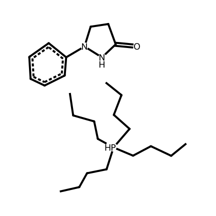 CCCC[PH](CCCC)(CCCC)CCCC.O=C1CCN(c2ccccc2)N1